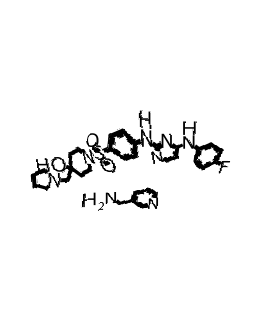 NCc1cccnc1.O=S(=O)(c1ccc(Nc2nccc(Nc3ccc(F)cc3)n2)cc1)N1CCC(O)(CN2CCCC2)CC1